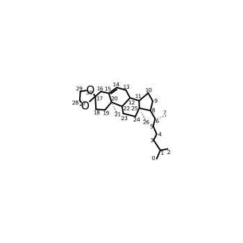 CC(C)CCC[C@@H](C)C1CCC2C3CC=C4CC5(CC[C@]4(C)C3CC[C@@]21C)OCCO5